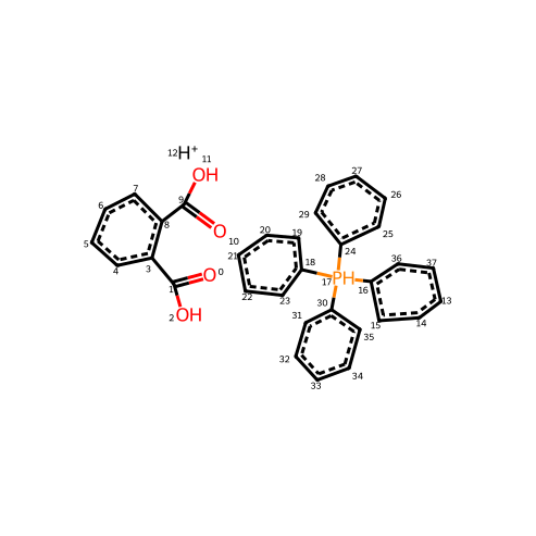 O=C(O)c1ccccc1C(=O)O.[H+].c1ccc([PH](c2ccccc2)(c2ccccc2)c2ccccc2)cc1